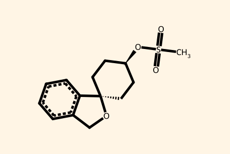 CS(=O)(=O)O[C@H]1CC[C@]2(CC1)OCc1ccccc12